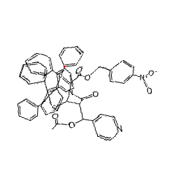 CC(=O)OC(c1ccncc1)C1C(=O)N(C(C(=O)OCc2ccc([N+](=O)[O-])cc2)=P(c2ccccc2)(c2ccccc2)c2ccccc2)C1SC(c1ccccc1)(c1ccccc1)c1ccccc1